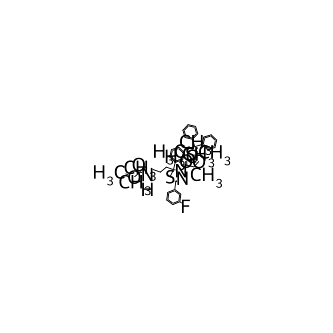 CC(O[Si](C)(C)C(c1ccccc1)(c1ccccc1)C(C)(C)C)C(=O)N1N=C(c2cccc(F)c2)SC1(CCCNC(=O)OC(C)(C)C)c1ccccc1